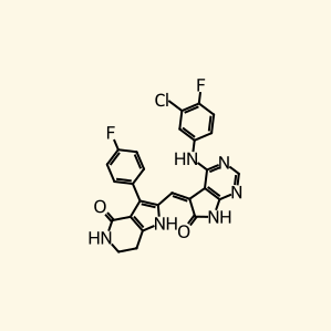 O=C1Nc2ncnc(Nc3ccc(F)c(Cl)c3)c2C1=Cc1[nH]c2c(c1-c1ccc(F)cc1)C(=O)NCC2